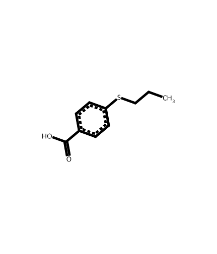 CCCSc1ccc(C(=O)O)cc1